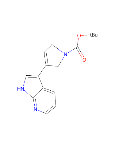 CC(C)(C)OC(=O)N1CC=C(c2c[nH]c3ncccc23)C1